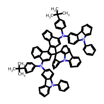 CC(C)(C)c1ccc(N(c2ccc3c(c2)c2ccccc2n3-c2ccccc2)c2cc3c(c4ccccc24)-c2c(cc(N(c4ccc(C(C)(C)C)cc4)c4ccc5c(c4)c4ccccc4n5-c4ccccc4)c4ccccc24)C32c3ccccc3-n3c4ccccc4c4cccc2c43)cc1